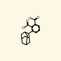 O=C(Cl)c1cccc(C2C3CC4CC(C3)CC2C4)c1C(=O)Cl